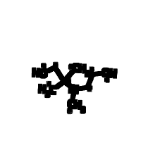 CN(CCO)C(C)(C)CO